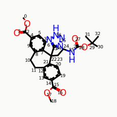 COC(=O)c1ccc2c(c1)CCc1cc(C(=O)OC)ccc1C2(CCNC(=O)OC(C)(C)C)c1nn[nH]n1